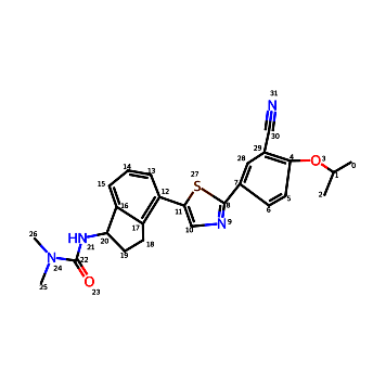 CC(C)Oc1ccc(-c2ncc(-c3cccc4c3CCC4NC(=O)N(C)C)s2)cc1C#N